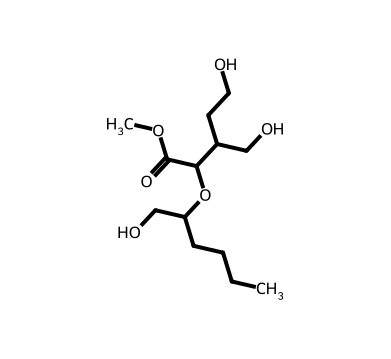 CCCCC(CO)OC(C(=O)OC)C(CO)CCO